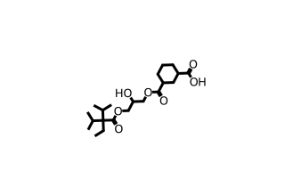 CCC(C(=O)OCC(O)COC(=O)C1CCCC(C(=O)O)C1)(C(C)C)C(C)C